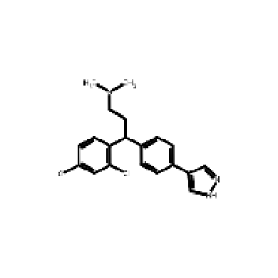 CN(C)CCC(c1ccc(-c2cn[nH]c2)cc1)c1ccc(Cl)cc1Cl